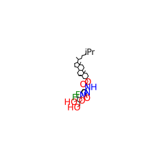 CC(C)CCCC(C)C1CCC2C3CC=C4CC(OC(=O)Nc5ccn(C6OC(CO)C(O)C6(F)F)c(=O)n5)CCC4(C)C3CCC12C